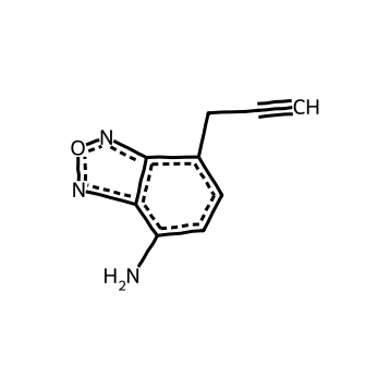 C#CCc1ccc(N)c2nonc12